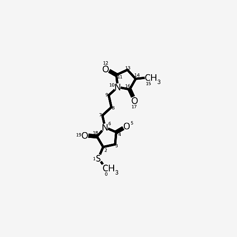 CSC1CC(=O)N(CCCN2C(=O)CC(C)C2=O)C1=O